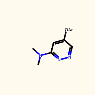 CC(=O)Oc1cnnc(N(C)C)c1